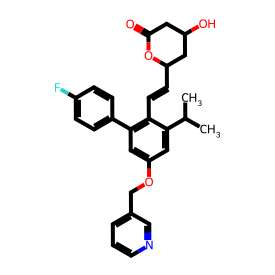 CC(C)c1cc(OCc2cccnc2)cc(-c2ccc(F)cc2)c1C=CC1CC(O)CC(=O)O1